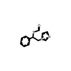 O=CSC(Cn1ccnc1)c1ccccc1